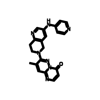 Cc1cc2nccc(=O)n2nc1N1CCc2ncc(Nc3ccncc3)cc2C1